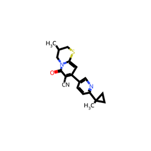 CC1CSc2cc(-c3ccc(C4(C)CC4)nc3)c(C#N)c(=O)n2C1